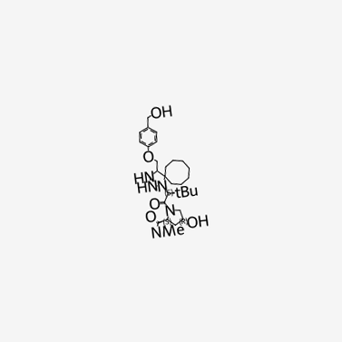 CNC(=O)[C@@H]1C[C@@H](O)CN1C(=O)[C@@H](N1NNC(COc2ccc(CO)cc2)C12CCCCCCC2)C(C)(C)C